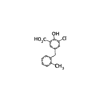 Cc1ccccc1Cc1cc(Cl)c(O)c(C(=O)O)c1